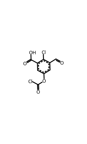 O=Cc1cc(OC(=O)Cl)cc(C(=O)O)c1Cl